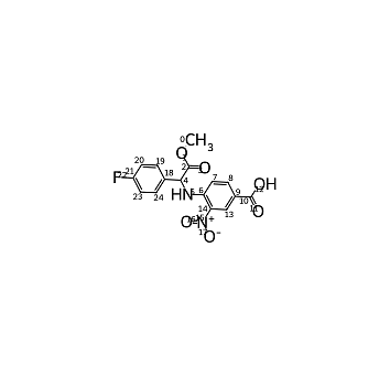 COC(=O)C(Nc1ccc(C(=O)O)cc1[N+](=O)[O-])c1ccc(F)cc1